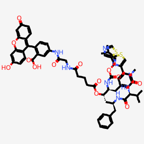 CC(C)c1nc(CN(C)C(=O)N[C@H](C(=O)N[C@@H](Cc2ccccc2)C[C@H](OC(=O)CCCC(=O)NCC(=O)Nc2ccc(-c3c4ccc(=O)cc-4oc4cc(O)ccc34)c(C(=O)O)c2)[C@H](Cc2ccccc2)NC(=O)OCc2cncs2)C(C)C)cs1